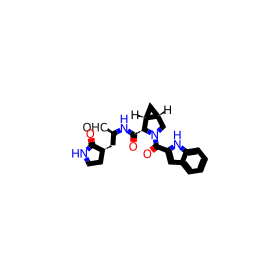 O=C[C@H](C[C@@H]1CCNC1=O)NC(=O)[C@@H]1[C@H]2C[C@H]2CN1C(=O)c1cc2ccccc2[nH]1